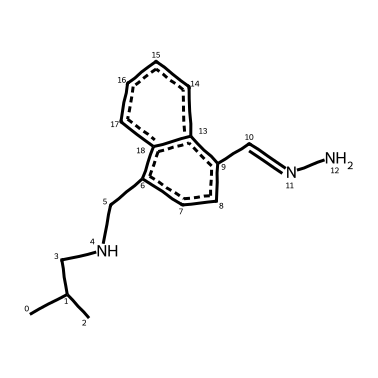 CC(C)CNCc1ccc(C=NN)c2ccccc12